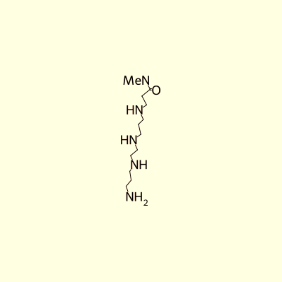 CNC(=O)CCNCCCNCCNCCCN